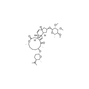 CO[C@@H]1[C@@H](OC)[C@H](C)O[C@@H](O[C@H]2C[C@H]3[C@@H]4C=C5C(=O)[C@H](C)[C@@H](O[C@H]6CC[C@H](N(C)C)[C@@H](C)O6)CCC[C@H](C)OC(=O)C[C@H]5[C@@H]4C=C[C@@H]3C2)[C@@H]1OC